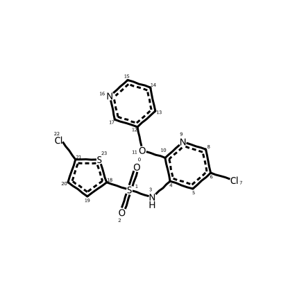 O=S(=O)(Nc1cc(Cl)cnc1Oc1cccnc1)c1ccc(Cl)s1